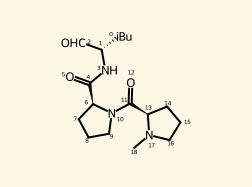 CCC(C)[C@@H](C=O)NC(=O)[C@@H]1CCCN1C(=O)[C@H]1CCCN1C